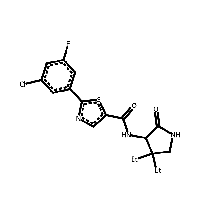 CCC1(CC)CNC(=O)C1NC(=O)c1cnc(-c2cc(F)cc(Cl)c2)s1